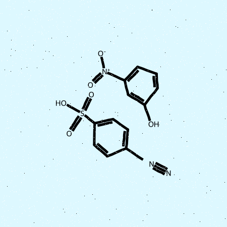 Cc1ccc(S(=O)(=O)O)cc1.N#N.O=[N+]([O-])c1cccc(O)c1